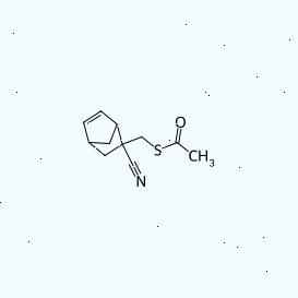 CC(=O)SCC1(C#N)CC2C=CC1C2